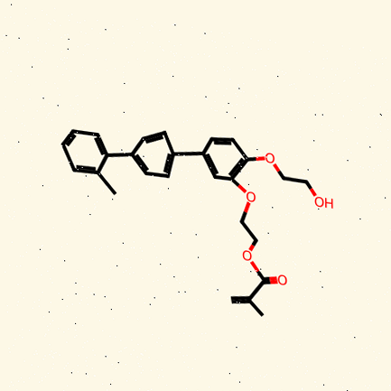 C=C(C)C(=O)OCCOc1cc(-c2ccc(-c3ccccc3C)cc2)ccc1OCCO